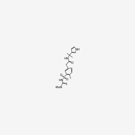 CNC(=S)NS(=O)(=O)c1cc(CC(=O)NC(C)(C)c2cc[nH]c2)ccc1C